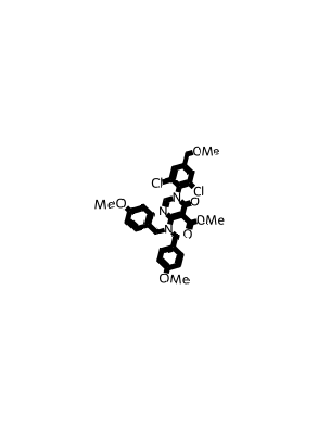 COCc1cc(Cl)c(-n2cnc(N(Cc3ccc(OC)cc3)Cc3ccc(OC)cc3)c(C(=O)OC)c2=O)c(Cl)c1